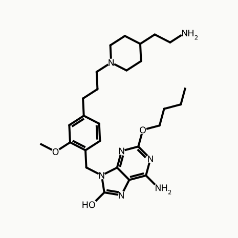 CCCCOc1nc(N)c2nc(O)n(Cc3ccc(CCCN4CCC(CCN)CC4)cc3OC)c2n1